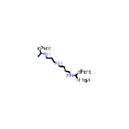 CCCCCCCC(CCCCC)NCCCCNCCCNC(C)CCCCC